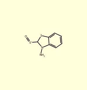 NN1c2ccccc2SC1[S+]=O